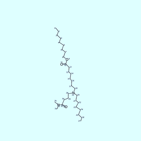 CCCCCCCCCOC(=O)CCCCCCCN(CCCCCCCC)CCCC(=O)N(C)C